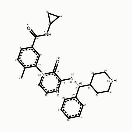 Cc1ccc(C(=O)NC2CC2)cc1-n1ccnc(N[C@@H](c2ccccc2)C2CCNCC2)c1=O